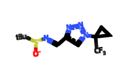 CC(C)(C)[S+]([O-])N=Cc1cn(C2(C(F)(F)F)CC2)nn1